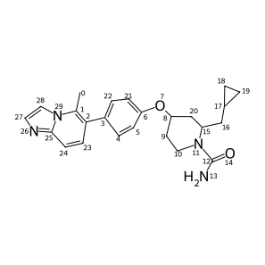 Cc1c(-c2ccc(OC3CCN(C(N)=O)C(CC4CC4)C3)cc2)ccc2nccn12